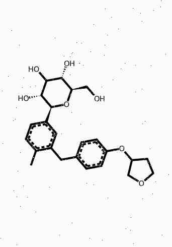 Cc1ccc([C@@H]2O[C@H](CO)[C@@H](O)C(O)[C@H]2O)cc1Cc1ccc(OC2CCOC2)cc1